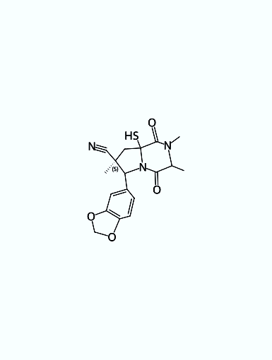 CC1C(=O)N2C(c3ccc4c(c3)OCO4)[C@@](C)(C#N)CC2(S)C(=O)N1C